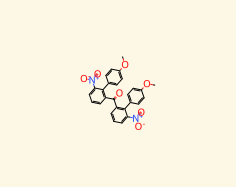 COc1ccc(-c2c(C(=O)c3cccc([N+](=O)[O-])c3-c3ccc(OC)cc3)cccc2[N+](=O)[O-])cc1